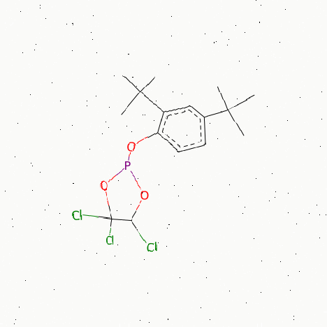 CC(C)(C)c1ccc(OP2OC(Cl)C(Cl)(Cl)O2)c(C(C)(C)C)c1